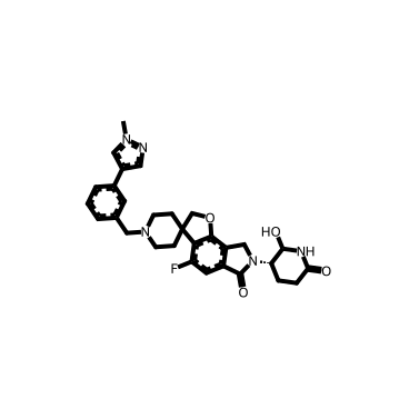 Cn1cc(-c2cccc(CN3CCC4(CC3)COc3c5c(cc(F)c34)C(=O)N([C@H]3CCC(=O)NC3O)C5)c2)cn1